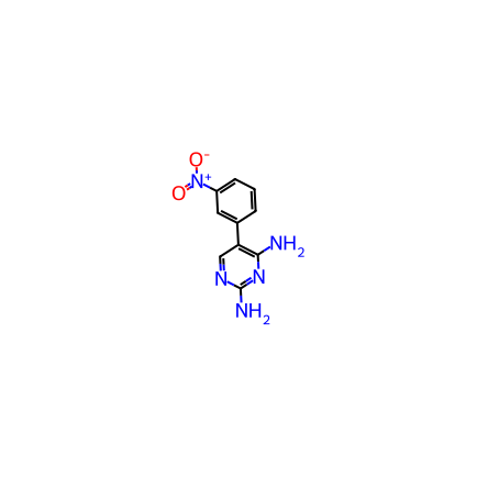 Nc1ncc(-c2cccc([N+](=O)[O-])c2)c(N)n1